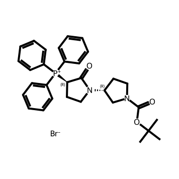 CC(C)(C)OC(=O)N1CC[C@@H](N2CC[C@@H]([P+](c3ccccc3)(c3ccccc3)c3ccccc3)C2=O)C1.[Br-]